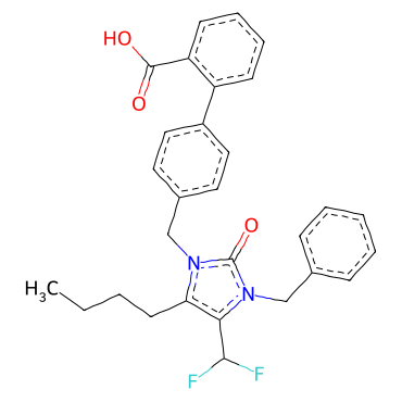 CCCCc1c(C(F)F)n(Cc2ccccc2)c(=O)n1Cc1ccc(-c2ccccc2C(=O)O)cc1